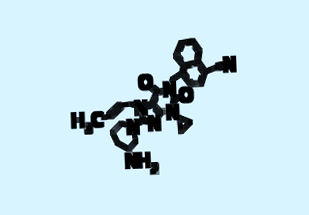 CC#CCn1c(N2CCC[C@@H](N)C2)nc2c1c(=O)n(Cc1ccc(C#N)c3ccccc13)c(=O)n2C1CC1